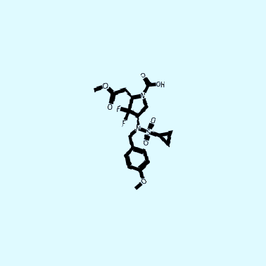 COC(=O)C[C@H]1N(C(=O)O)C[C@@H](N(Cc2ccc(OC)cc2)S(=O)(=O)C2CC2)C1(F)F